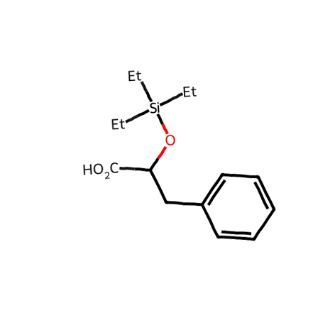 CC[Si](CC)(CC)OC(Cc1ccccc1)C(=O)O